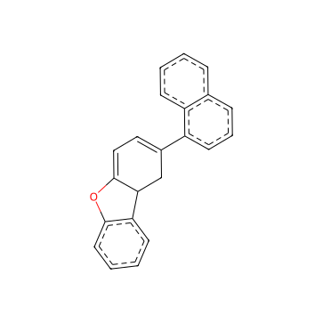 C1=C(c2cccc3ccccc23)CC2C(=C1)Oc1ccccc12